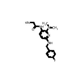 CN(C)c1nc(NCc2ccc(F)cc2)ccc1NC(=O)CC(C)(C)C